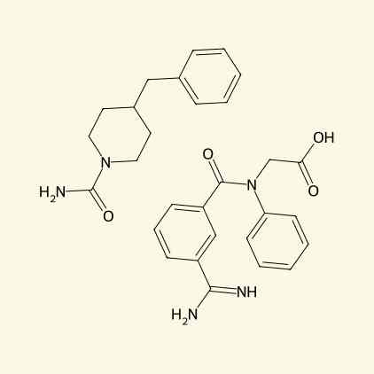 N=C(N)c1cccc(C(=O)N(CC(=O)O)c2ccccc2)c1.NC(=O)N1CCC(Cc2ccccc2)CC1